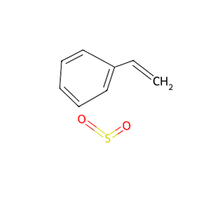 C=Cc1ccccc1.O=S=O